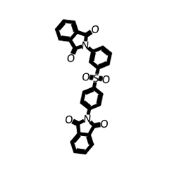 O=C1c2ccccc2C(=O)N1c1ccc(S(=O)(=O)c2cccc(N3C(=O)c4ccccc4C3=O)c2)cc1